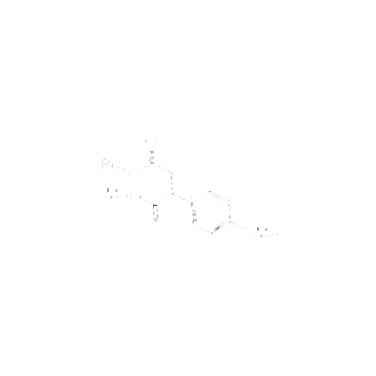 COC(=O)C(CC(=O)OC(C)(C)C)c1ccc(SC)cc1